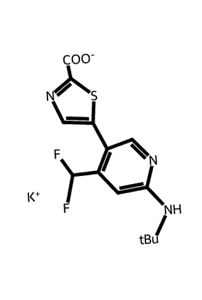 CC(C)(C)Nc1cc(C(F)F)c(-c2cnc(C(=O)[O-])s2)cn1.[K+]